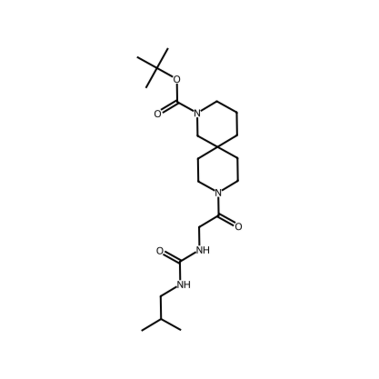 CC(C)CNC(=O)NCC(=O)N1CCC2(CCCN(C(=O)OC(C)(C)C)C2)CC1